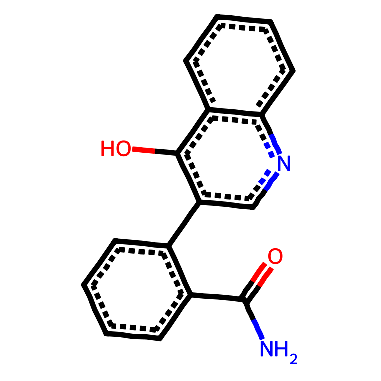 NC(=O)c1ccccc1-c1cnc2ccccc2c1O